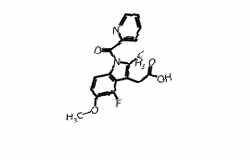 COc1ccc2c(c1F)c(CC(=O)O)c(C)n2C(=O)c1ccccn1